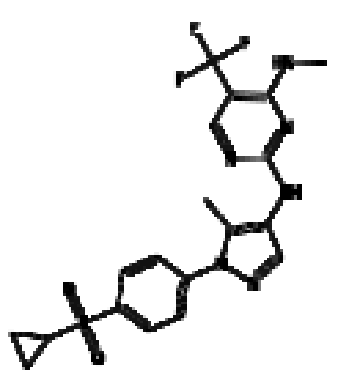 CNc1nc(Nc2cnn(-c3ccc(S(=O)(=O)C4CC4)cc3)c2C)ncc1C(F)(F)F